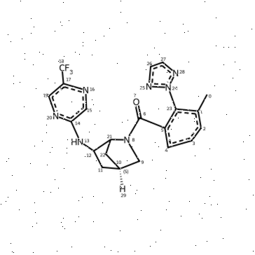 Cc1cccc(C(=O)N2C[C@H]3CC(Nc4cnc(C(F)(F)F)cn4)C2C3)c1-n1nccn1